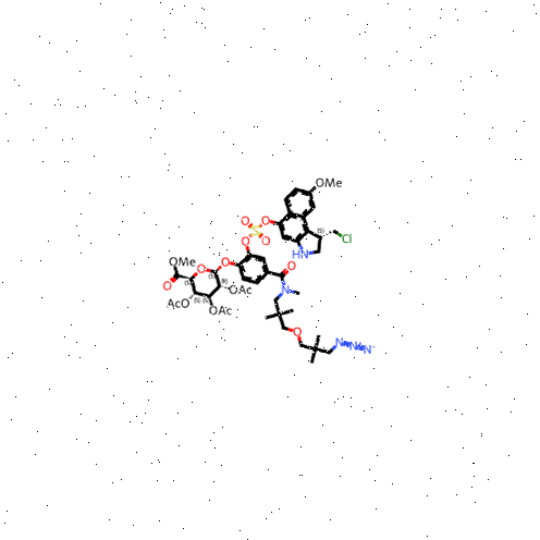 COC(=O)[C@H]1O[C@@H](Oc2ccc(C(=O)N(C)CC(C)(C)COCC(C)(C)CN=[N+]=[N-])cc2OS(=O)(=O)Oc2cc3c(c4cc(OC)ccc24)[C@H](CCl)CN3)[C@H](OC(C)=O)[C@@H](OC(C)=O)[C@@H]1OC(C)=O